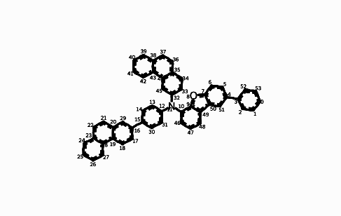 c1ccc(-c2ccc3oc4c(N(c5ccc(-c6ccc7c(ccc8ccccc87)c6)cc5)c5ccc6ccc7ccccc7c6c5)cccc4c3c2)cc1